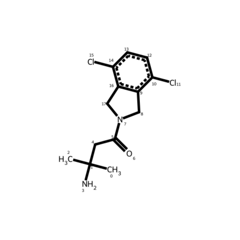 CC(C)(N)CC(=O)N1Cc2c(Cl)ccc(Cl)c2C1